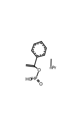 C=C(O[PH](=O)O)c1ccccc1.CCCC